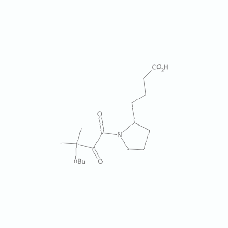 CCCCC(C)(C)C(=O)C(=O)N1CCCC1CCCC(=O)O